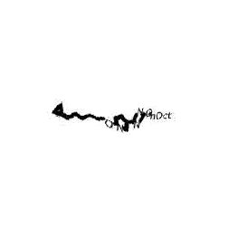 CCCCCCCCOc1cnc(-c2ccc(OCCCCCCC3CC3)nc2)cn1